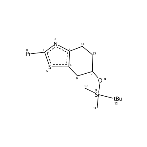 CC(C)c1nc2c(s1)CC(O[Si](C)(C)C(C)(C)C)CC2